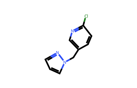 Clc1ccc(Cn2cccn2)cn1